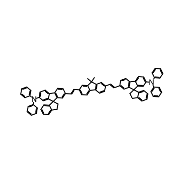 CC1(C)c2cc(/C=C/c3ccc4c(c3)C3(CCc5ccccc53)c3cc(N(c5ccccc5)c5ccccc5)ccc3-4)ccc2-c2ccc(/C=C/c3ccc4c(c3)C3(CCc5ccccc53)c3cc(N(c5ccccc5)c5ccccc5)ccc3-4)cc21